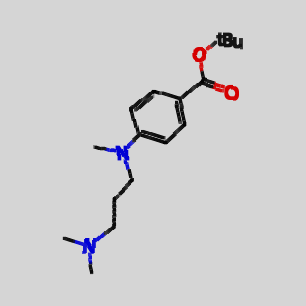 CN(C)CCCN(C)c1ccc(C(=O)OC(C)(C)C)cc1